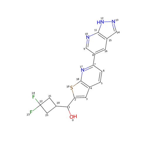 OC(c1cc2ccc(-c3cnc4[nH]ncc4c3)nc2s1)C1CC(F)(F)C1